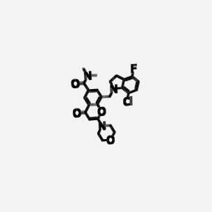 CN(C)C(=O)c1cc(CN2CCc3c(F)ccc(Cl)c32)c2oc(N3CCOCC3)cc(=O)c2c1